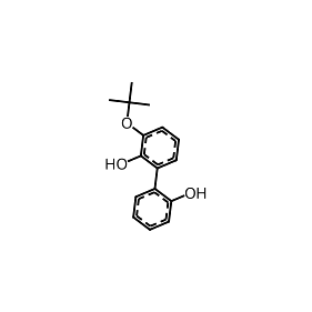 CC(C)(C)Oc1cccc(-c2ccccc2O)c1O